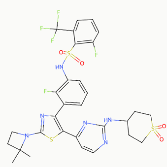 CC1(C)CCN1c1nc(-c2cccc(NS(=O)(=O)c3c(F)cccc3C(F)(F)F)c2F)c(-c2ccnc(NC3CCS(=O)(=O)CC3)n2)s1